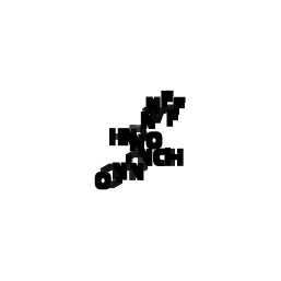 Cl.O=c1c(-n2cnc(C(F)(F)F)c2)c[nH]n1-c1cc(N2CCOCC2)ncn1